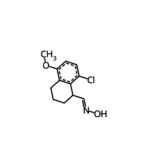 COc1ccc(Cl)c2c1CCCC2C=NO